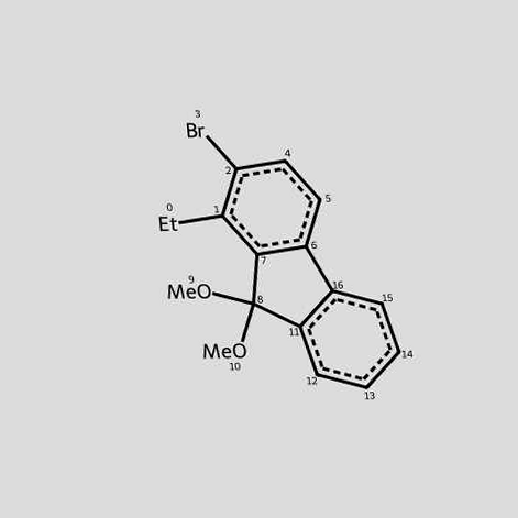 CCc1c(Br)ccc2c1C(OC)(OC)c1ccccc1-2